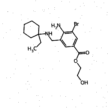 CCC1(NCc2cc(C(=O)OCCO)cc(Br)c2N)CCCCC1